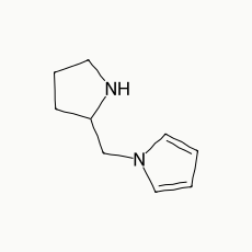 c1ccn(CC2CCCN2)c1